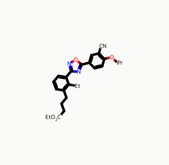 CCOC(=O)CCCc1cccc(-c2noc(-c3ccc(OC(C)C)c(C#N)c3)n2)c1CC